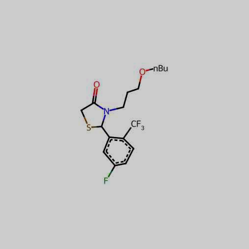 CCCCOCCCN1C(=O)CSC1c1cc(F)ccc1C(F)(F)F